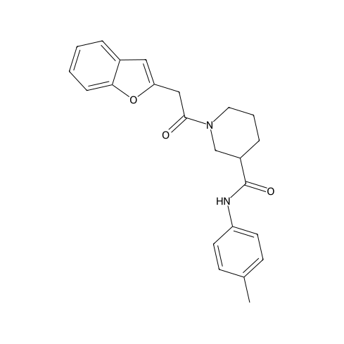 Cc1ccc(NC(=O)C2CCCN(C(=O)Cc3cc4ccccc4o3)C2)cc1